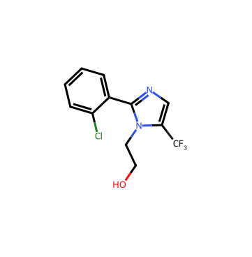 OCCn1c(C(F)(F)F)cnc1-c1ccccc1Cl